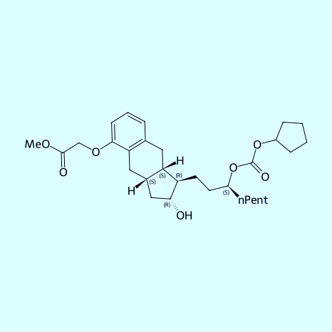 CCCCC[C@@H](CC[C@@H]1[C@H]2Cc3cccc(OCC(=O)OC)c3C[C@H]2C[C@H]1O)OC(=O)OC1CCCC1